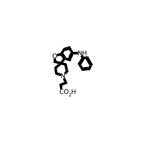 O=C(O)CCN1CCC2(CC1)COc1ccc(Nc3ccccc3)cc12